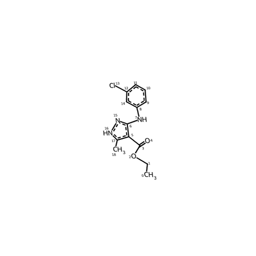 CCOC(=O)c1c(Nc2cccc(Cl)c2)n[nH]c1C